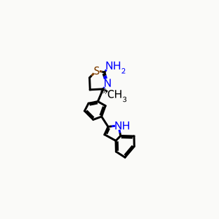 C[C@@]1(c2cccc(-c3cc4ccccc4[nH]3)c2)CCSC(N)=N1